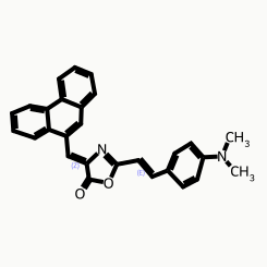 CN(C)c1ccc(/C=C/C2=NC(=C\c3cc4ccccc4c4ccccc34)/C(=O)O2)cc1